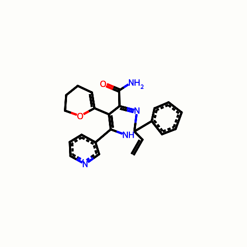 C=CC1(c2ccccc2)N=C(C(N)=O)C(C2=CCCCO2)=C(c2cccnc2)N1